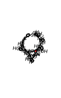 CCC[C@@H]1NC(=O)[C@H](Cc2c[nH]c3ncccc23)NC(=O)[C@H]([C@@H](C)O)NC(=O)[C@@H]2CCCNC(=O)C[C@@H](NC1=O)C(=O)N[C@@H](Cc1ccc(O)cc1)C(=O)N[C@@H](C1CCCCC1)C(=O)N[C@@H]([C@@H](C)O)C(=O)N[C@H](C(N)=O)CSCc1cccc(c1)CSCCC(=O)N[C@@H](C(C)(C)C)C(=O)N[C@@H](Cc1ccc(O)cc1)C(=O)N2